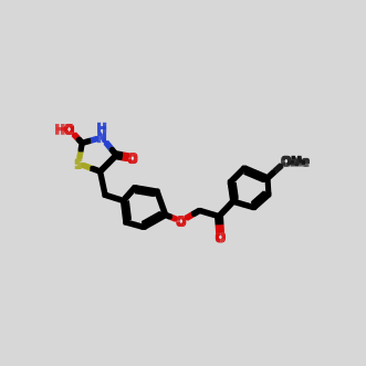 COc1ccc(C(=O)COc2ccc(CC3SC(O)NC3=O)cc2)cc1